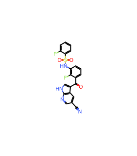 N#Cc1cnc2[nH]cc(C(=O)c3cccc(NS(=O)(=O)c4ccccc4F)c3F)c2c1